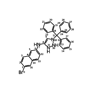 Brc1ccc2cc(NC3=CN(C(c4ccccc4)(c4ccccc4)c4ccccc4)NN3)ccc2c1